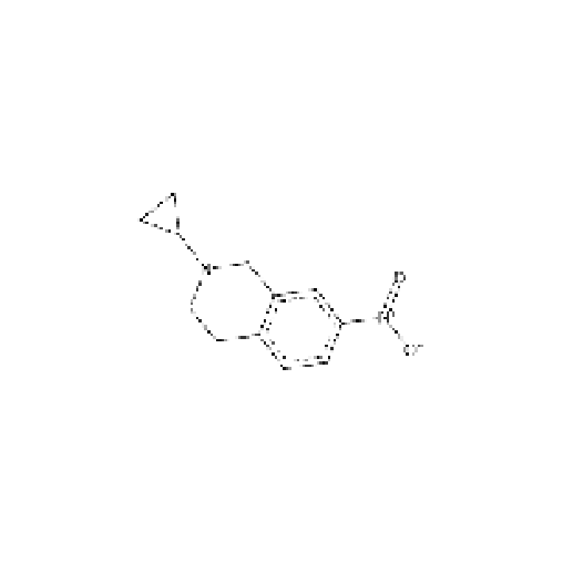 O=[N+]([O-])c1ccc2c(c1)CN(C1CC1)CC2